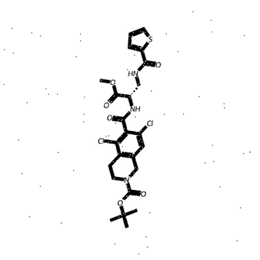 COC(=O)[C@H](CNC(=O)c1cccs1)NC(=O)c1c(Cl)cc2c(c1Cl)CCN(C(=O)OC(C)(C)C)C2